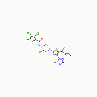 CCOC(=O)c1sc(N2CC[C@@H](NC(=O)c3[nH]c(C)c(Br)c3Cl)[C@@H](F)C2)nc1-c1ncnn1C